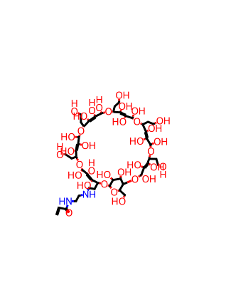 C=CC(=O)NCCNCCC1OC2OC(CO)C(OC(O)/C(O)=C(\O)C(CCO)OC(O)/C(O)=C(\O)C(CCO)OC(O)/C(O)=C(\O)C(CCO)OC(O)/C(O)=C(/O)C(CCO)OC(O)/C(O)=C(\O)C(CCO)OC(O)/C(O)=C/1O)C(O)C2O